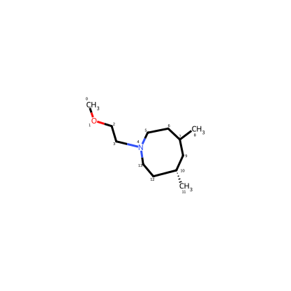 COCCN1CCC(C)C[C@H](C)CC1